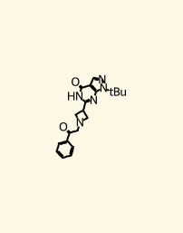 CC(C)(C)n1ncc2c(=O)[nH]c(C3CN(CC(=O)c4ccccc4)C3)nc21